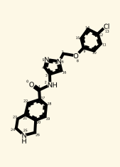 O=C(Nc1cnn(COc2ccc(Cl)cc2)c1)c1ccc2c(c1)CCNC2